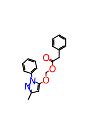 Cc1cc(OCOC(=O)Cc2ccccc2)n(-c2ccccc2)n1